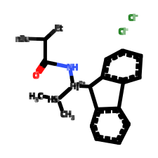 CCCCC(CC)C(=O)[NH][Hf+2]([CH]1c2ccccc2-c2ccccc21)[SiH](C)C.[Cl-].[Cl-]